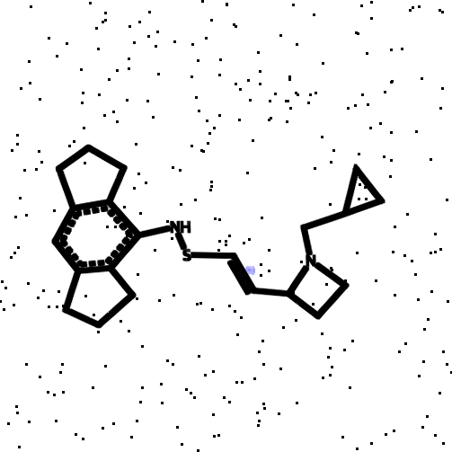 C(=C\C1CCN1CC1CC1)/SNc1c2c(cc3c1CCC3)CCC2